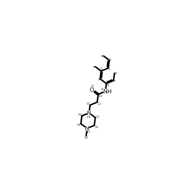 C\C=C/C(C)=C\C(=C/C)NC(=O)CCN1CCN(C)CC1